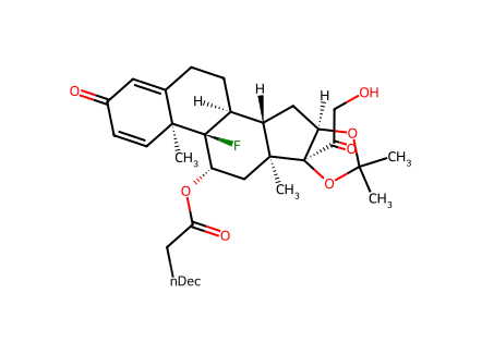 CCCCCCCCCCCC(=O)O[C@H]1C[C@@]2(C)[C@@H](C[C@H]3OC(C)(C)O[C@]32C(=O)CO)[C@@H]2CCC3=CC(=O)C=C[C@]3(C)[C@@]12F